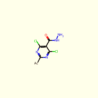 CC(=O)c1nc(Cl)c(C(=O)NN)c(Cl)n1